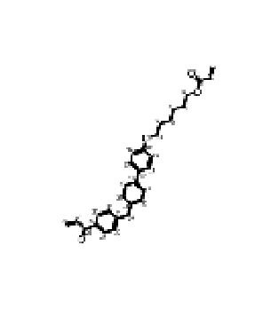 C=CC(=O)OCCCCCCOc1ccc(-c2ccc(Cc3ccc(C(=O)C=C)cc3)cc2)cc1